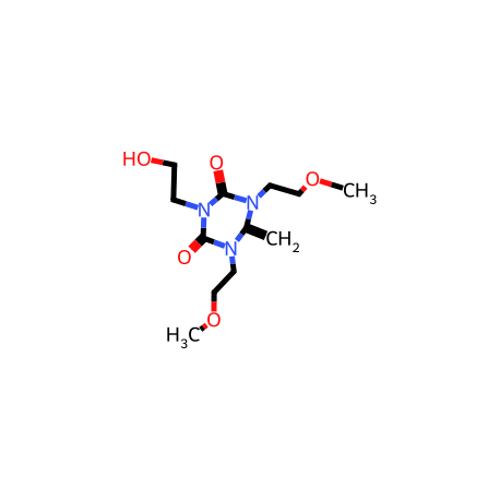 C=C1N(CCOC)C(=O)N(CCO)C(=O)N1CCOC